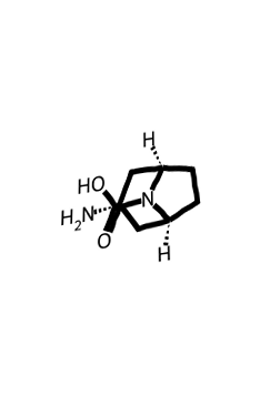 N[C@@H]1C[C@H]2CC[C@@H](C1)N2C(=O)O